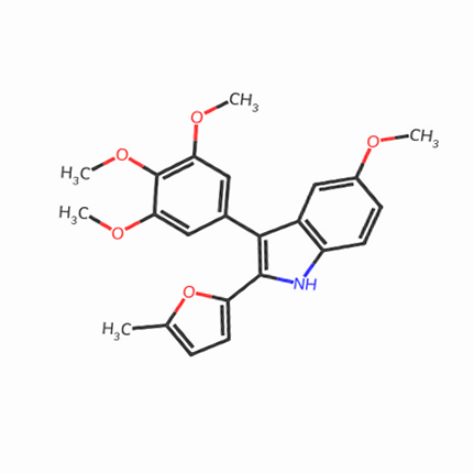 COc1ccc2[nH]c(-c3ccc(C)o3)c(-c3cc(OC)c(OC)c(OC)c3)c2c1